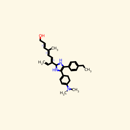 C=C\C(=C/C=C(C)/C=C/CO)C1NC(C2=CC=C(N(C)C)CC2)=C(c2ccc(CC)cc2)N1